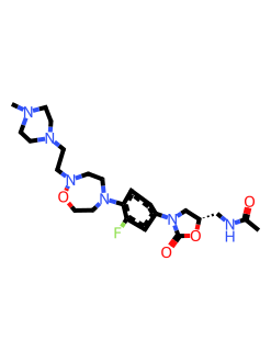 CC(=O)NC[C@H]1CN(c2ccc(N3CCON(CCN4CCN(C)CC4)CC3)c(F)c2)C(=O)O1